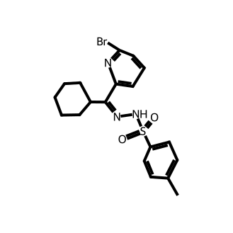 Cc1ccc(S(=O)(=O)NN=C(c2cccc(Br)n2)C2CCCCC2)cc1